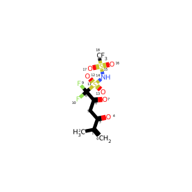 C=C(C)C(=O)CC(=O)C(F)(F)S(=O)(=O)NS(=O)(=O)C(F)(F)F